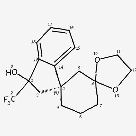 OC1(C(F)(F)F)C[C@]2(CCCC3(C2)OCCO3)c2ccccc21